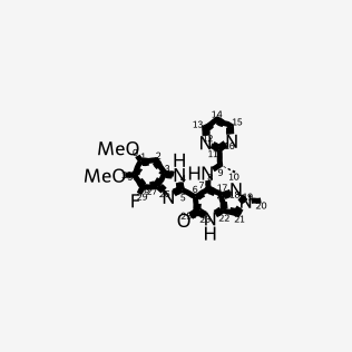 COc1cc2[nH]c(-c3c(N[C@@H](C)c4ncccn4)c4nn(C)cc4[nH]c3=O)nc2c(F)c1OC